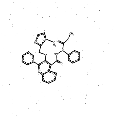 COC(=O)N(NC(=O)c1c(OCc2nccn2C)c(-c2ccccc2)nc2ccccc12)c1ccccc1